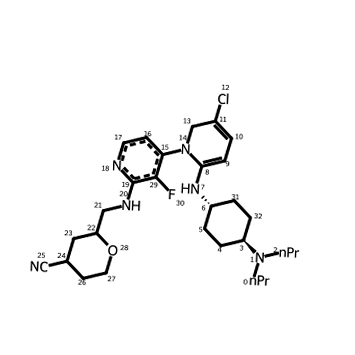 CCCN(CCC)[C@H]1CC[C@H](NC2=CC=C(Cl)CN2c2ccnc(NCC3CC(C#N)CCO3)c2F)CC1